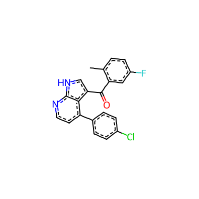 Cc1ccc(F)cc1C(=O)c1c[nH]c2nccc(-c3ccc(Cl)cc3)c12